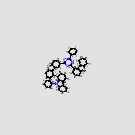 c1ccc(-c2nc(-c3ccc4sc5cccc(-c6cccc7c8ccccc8n(-c8ccccc8)c67)c5c4c3)nc(-c3cccc4sc5ccccc5c34)n2)cc1